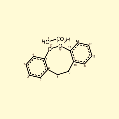 O=C(O)O.c1ccc2c(c1)CCc1ccccc1OO2